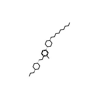 CCCCCCCCC[C@H]1CC[C@H](c2ccc(CC[C@H]3CC[C@H](CCC)CC3)c(C)c2)CC1